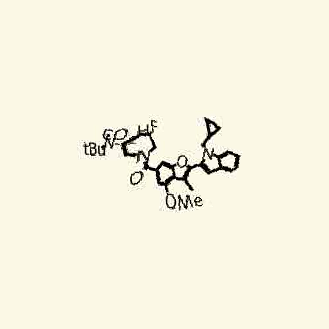 COc1cc(C(=O)N2C[C@H](F)C[C@@H](N(C(=O)O)C(C)(C)C)C2)cc2oc(-c3cc4ccccc4n3CC3CC3)c(C)c12